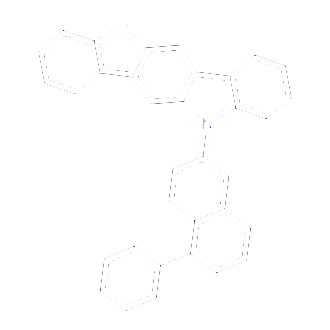 c1ccc(-c2cccc3cc(-n4c5ccccc5c5cc6oc7ccccc7c6cc54)ccc23)cc1